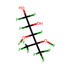 OC(F)(F)C(O)(F)C(F)(OF)C(OF)(C(F)(F)F)C(F)(F)F